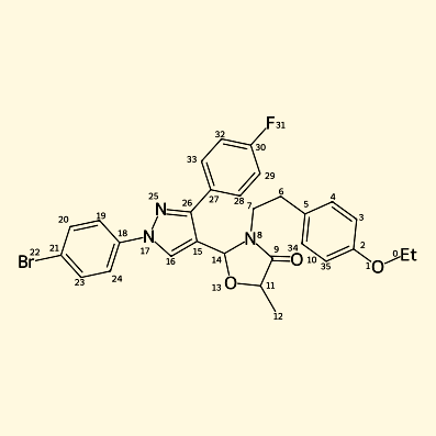 CCOc1ccc(CCN2C(=O)C(C)OC2c2cn(-c3ccc(Br)cc3)nc2-c2ccc(F)cc2)cc1